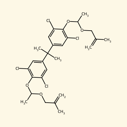 C=C(C)COC(C)Oc1c(Cl)cc(C(C)(C)c2cc(Cl)c(OC(C)OCC(=C)C)c(Cl)c2)cc1Cl